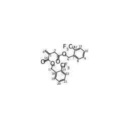 C=C(CC(=O)OCc1ccccc1C(F)(F)F)C(=O)OCc1ccccc1C(F)(F)F